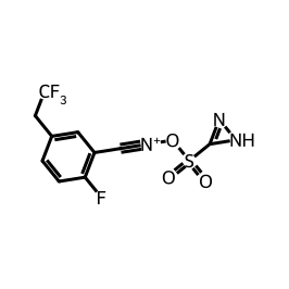 O=S(=O)(O[N+]#Cc1cc(CC(F)(F)F)ccc1F)C1=NN1